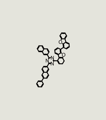 C1=C(c2nc(-c3ccc4ccccc4c3)nc(-c3ccc4cc(-c5ccccc5)ccc4c3)n2)c2c(oc3c(-c4cccc5c4oc4ccccc45)cccc23)CC1